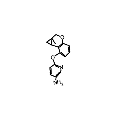 CC12COc3cccc(Oc4ccc(N)cn4)c3C1C2